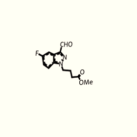 COC(=O)CCCn1nc(C=O)c2cc(F)ccc21